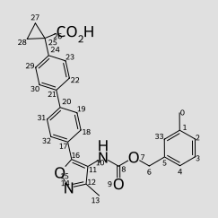 Cc1cccc(COC(=O)Nc2c(C)noc2-c2ccc(-c3ccc(C4(C(=O)O)CC4)cc3)cc2)c1